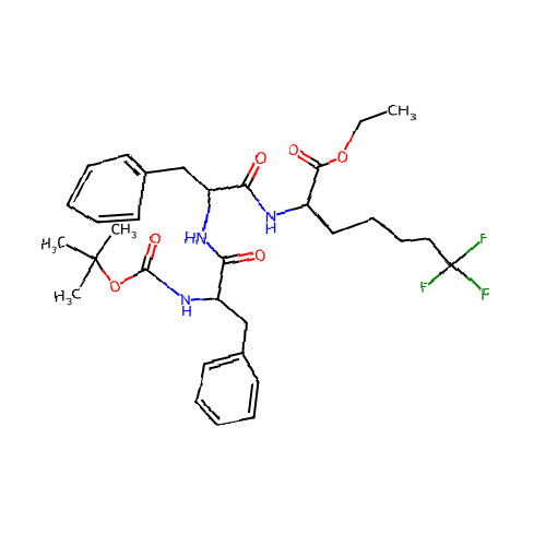 CCOC(=O)C(CCCCC(F)(F)F)NC(=O)C(Cc1ccccc1)NC(=O)C(Cc1ccccc1)NC(=O)OC(C)(C)C